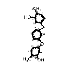 Cc1ccc(Oc2cccc(Oc3ccc(C)c(O)c3)c2)cc1O